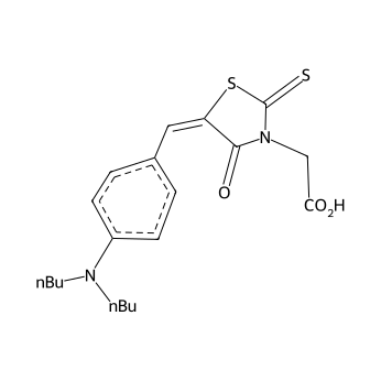 CCCCN(CCCC)c1ccc(C=C2SC(=S)N(CC(=O)O)C2=O)cc1